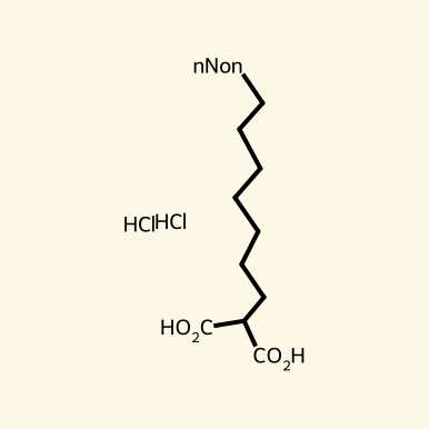 CCCCCCCCCCCCCCCCC(C(=O)O)C(=O)O.Cl.Cl